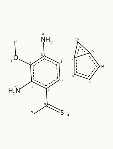 COc1c(N)ccc(C(C)=S)c1N.c1cc2cc-2c1